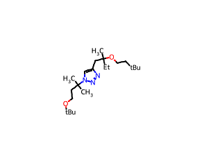 CCC(C)(Cc1cn(C(C)(C)CCOC(C)(C)C)nn1)OCCC(C)(C)C